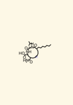 CCCCCCCC1CC/C=C\CC(C(=O)NC)C[C@@H](C(=O)O)NC(=O)[C@H](CC(C)C)NC1=O